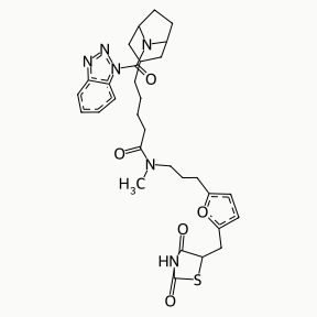 CN(CCCc1ccc(CC2SC(=O)NC2=O)o1)C(=O)CCCCC1CC2CCC(C1)N2C(=O)n1nnc2ccccc21